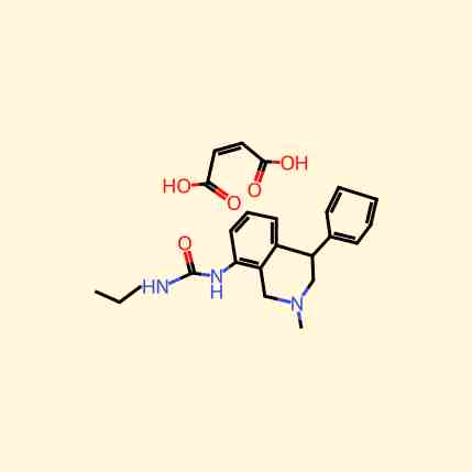 CCCNC(=O)Nc1cccc2c1CN(C)CC2c1ccccc1.O=C(O)/C=C\C(=O)O